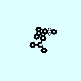 c1ccc(-c2cc(-c3ccccc3)nc(-c3ccc4c(c3)C3(c5ccccc5-c5ccccc53)c3ccc5c(c3-4)Oc3ccccc3O5)c2)cc1